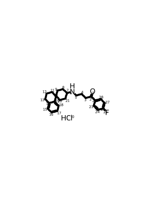 Cl.O=C(CCCNC1CCC2(CCCc3ccccc32)CC1)c1ccc(F)cc1